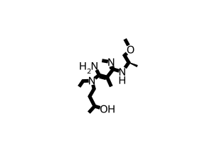 CCN(CCC(C)O)/C(N)=C(C)/C(=N\C)N[C@H](C)COC